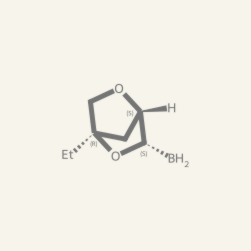 B[C@@H]1O[C@@]2(CC)CO[C@H]1C2